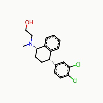 CN(CCO)[C@H]1CC[C@@H](c2ccc(Cl)c(Cl)c2)c2ccccc21